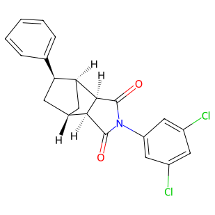 O=C1[C@@H]2[C@H]3C[C@@H](C[C@H]3c3ccccc3)[C@@H]2C(=O)N1c1cc(Cl)cc(Cl)c1